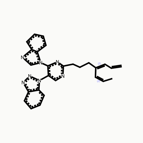 C=C/C=C(\C=C/C)CCCc1ncc(-n2nnc3ccccc32)c(-n2cnc3ccccc32)n1